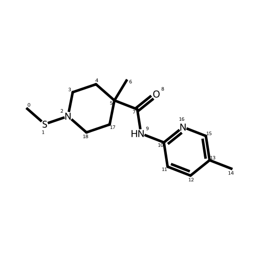 CSN1CCC(C)(C(=O)Nc2ccc(C)cn2)CC1